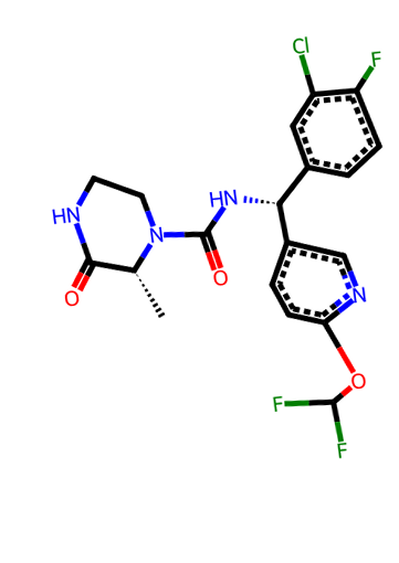 C[C@@H]1C(=O)NCCN1C(=O)N[C@@H](c1ccc(OC(F)F)nc1)c1ccc(F)c(Cl)c1